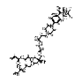 C=CC(=O)OCCOCC(CC)(COCCOC(=O)C=C)COCCOC(=O)CCN1CCN(c2ccc(C(=O)C(CC)(CC)N(C)C)cc2)CC1